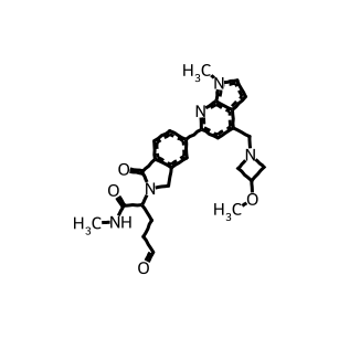 CNC(=O)C(CCC=O)N1Cc2cc(-c3cc(CN4CC(OC)C4)c4ccn(C)c4n3)ccc2C1=O